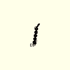 C/C=C/CCC1CCC(c2ccc(-c3ccc(-c4ccc(-c5ccc(OCC)c(F)c5F)cc4)cc3)cc2)CO1